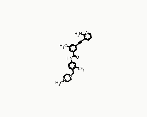 Cc1cc(C#Cc2cccnc2N)cc(C(=O)Nc2ccc(CN3CCN(C)CC3)c(C(F)(F)F)c2)c1